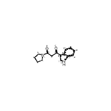 O=C(CC(=O)N1CCCC1)c1c[nH]c2ccccc12